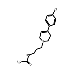 O=C(NCCCN1CC=C(c2ccc(Cl)cc2)CC1)C(F)(F)F